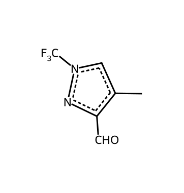 Cc1cn(C(F)(F)F)nc1C=O